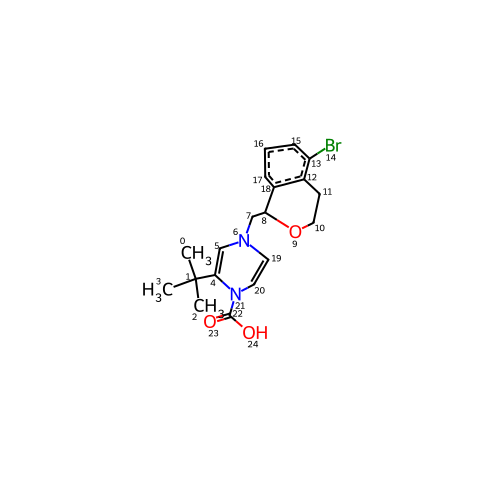 CC(C)(C)C1=CN(CC2OCCc3c(Br)cccc32)C=CN1C(=O)O